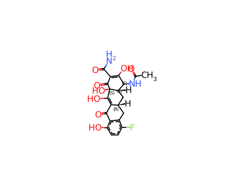 CC(=O)N[C@@H]1C(O)=C(C(N)=O)C(=O)[C@@]2(O)C(O)=C3C(=O)c4c(O)ccc(F)c4C[C@H]3C[C@@H]12